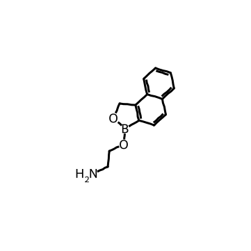 NCCOB1OCc2c1ccc1ccccc21